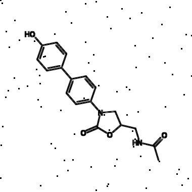 CC(=O)NCC1CN(c2ccc(-c3ccc(O)cc3)cc2)C(=O)O1